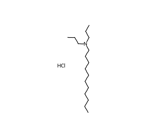 CCCCCCCCCCCN(CCC)CCC.Cl